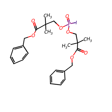 CC(C)(COP(=O)(I)OCC(C)(C)C(=O)OCc1ccccc1)C(=O)OCc1ccccc1